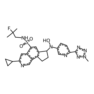 Cn1nnc(-c2ccc(N(O)C3CCc4c3cc(S(=O)(=O)NCC(C)(C)F)c3cc(C5CC5)ncc43)cn2)n1